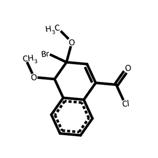 COC1c2ccccc2C(C(=O)Cl)=CC1(Br)OC